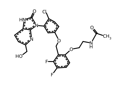 CC(=O)NCCOc1ccc(F)c(F)c1COc1ccc(Cl)c(-n2c(=O)[nH]c3ccc(CO)nc32)c1